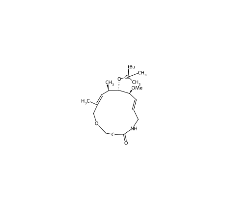 CO[C@H]1/C=C/CNC(=O)CCOC/C(C)=C\[C@@H](C)[C@@H]1O[Si](C)(C)C(C)(C)C